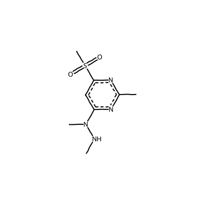 CNN(C)c1cc(S(C)(=O)=O)nc(C)n1